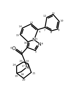 O=C(c1cnn2c(-c3ccccc3)cccc12)N1CC2CCC1CC2